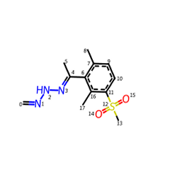 C=NN/N=C(\C)c1c(C)ccc(S(C)(=O)=O)c1C